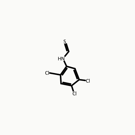 S=CNc1cc(Cl)c(Cl)cc1Cl